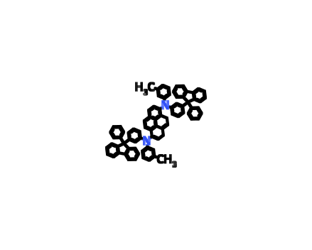 Cc1cccc(N(C2=CCC3=CCc4c(N(c5cccc(C)c5)c5cccc(C6(c7ccccc7)c7ccccc7-c7ccccc76)c5)ccc5ccc2c3c45)c2cccc(C3(c4ccccc4)c4ccccc4-c4ccccc43)c2)c1